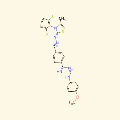 Cc1cs/c(=N\N=C\c2ccc(C(=N)/N=C\Nc3ccc(OC(F)(F)F)cc3)cc2)n1-c1c(F)cccc1F